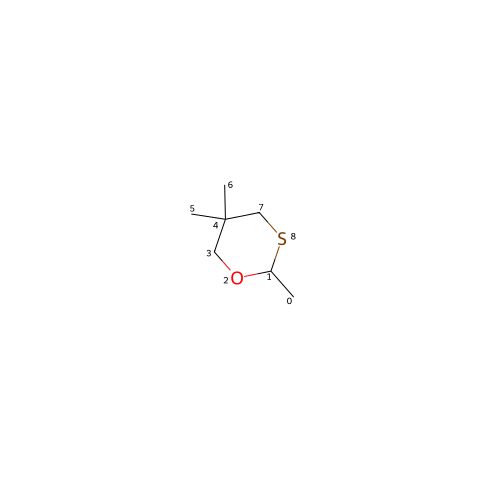 CC1OCC(C)(C)CS1